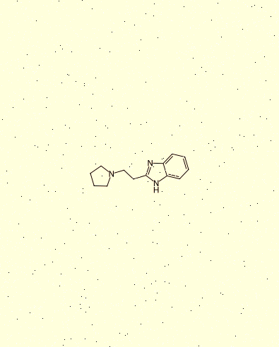 c1ccc2[nH]c(CCN3CCCC3)nc2c1